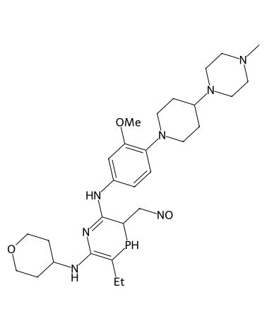 CCC1=C(NC2CCOCC2)N=C(Nc2ccc(N3CCC(N4CCN(C)CC4)CC3)c(OC)c2)C(CN=O)P1